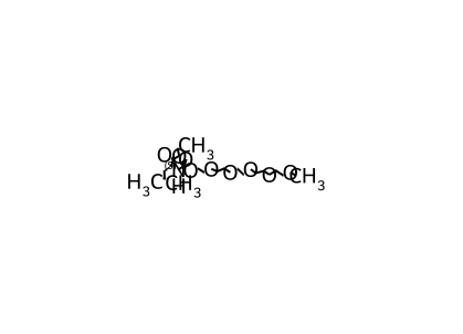 CCOC(=O)[C@H](CC(C)C)NC(=O)OCCOCCOCCOCCOCCOC